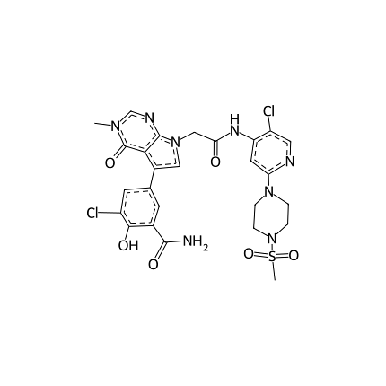 Cn1cnc2c(c(-c3cc(Cl)c(O)c(C(N)=O)c3)cn2CC(=O)Nc2cc(N3CCN(S(C)(=O)=O)CC3)ncc2Cl)c1=O